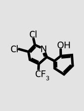 Oc1ccccc1-c1nc(Cl)c(Cl)cc1C(F)(F)F